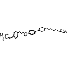 CCCCCCCC1CCC(c2ccc(OCCCC3CCC(CC)CC3)cc2)CC1